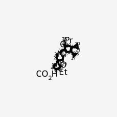 CCc1c(C(=O)O)ccn(C2CCN(Cc3cc(C4CC4)c(C4CC4)cc3OC(C)C)CC2)c1=O